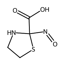 O=NC1(C(=O)O)NCCS1